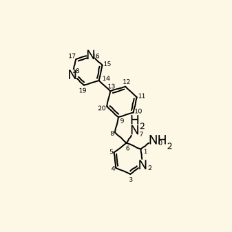 NC1N=CC=CC1(N)Cc1cccc(-c2cncnc2)c1